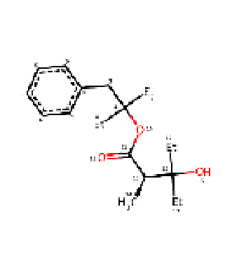 CCC(CC)(Cc1ccccc1)OC(=O)[C@H](C)C(O)(CC)CC